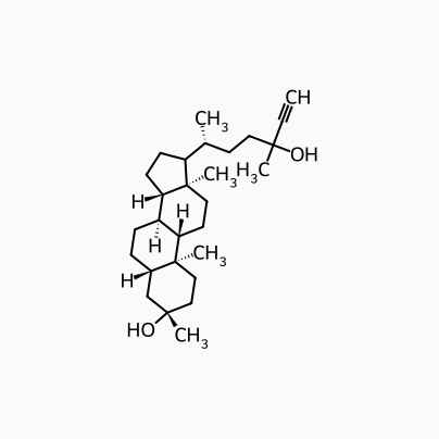 C#CC(C)(O)CC[C@@H](C)C1CC[C@H]2[C@@H]3CC[C@H]4C[C@@](C)(O)CC[C@]4(C)[C@H]3CC[C@]12C